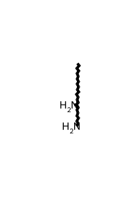 CCCCCCCCCCCCCCCCC(N)CCCCCCCN